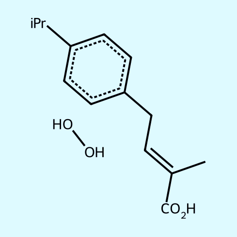 CC(=CCc1ccc(C(C)C)cc1)C(=O)O.OO